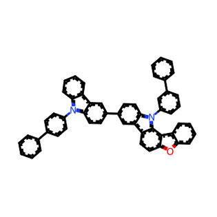 c1ccc(-c2ccc(-n3c4ccccc4c4cc(-c5ccc6c(c5)c5ccc7oc8ccccc8c7c5n6-c5cccc(-c6ccccc6)c5)ccc43)cc2)cc1